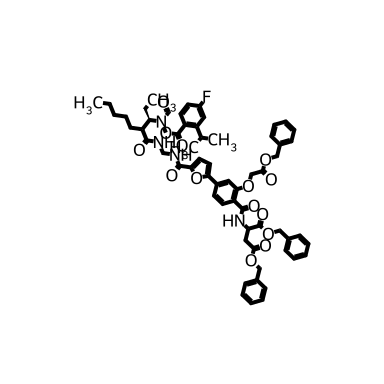 CCCCCC(C(=O)NCNC(=O)c1ccc(-c2ccc(C(=O)NC(CC(=O)OCc3ccccc3)C(=O)OCc3ccccc3)c(OCC(=O)OCc3ccccc3)c2)o1)[C@@H](CC)N(C=O)OC(=O)c1ccc(F)cc1C(C)C